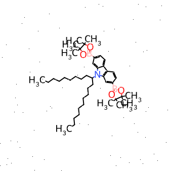 CCCCCCCCCCC(CCCCCCCCC)n1c2cc(B3OC(C)(C)C(C)(C)O3)ccc2c2ccc(B3OC(C)(C)C(C)(C)O3)cc21